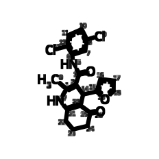 CC1=C(C(=O)Nc2cc(Cl)ccc2Cl)C(c2ccco2)C2=C(CCCC2=O)N1